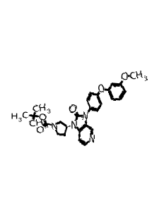 COc1cccc(Oc2ccc(-n3c(=O)n([C@@H]4CCN(C(=O)OC(C)(C)C)C4)c4ccncc43)cc2)c1